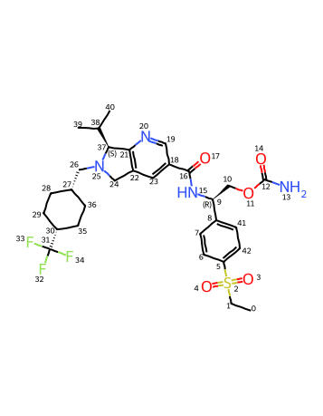 CCS(=O)(=O)c1ccc([C@H](COC(N)=O)NC(=O)c2cnc3c(c2)CN(C[C@H]2CC[C@@H](C(F)(F)F)CC2)[C@H]3C(C)C)cc1